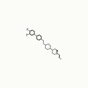 C/C=C/[SiH]1CCC(C2CCC(CCc3ccc(-c4ccc(F)c(F)c4)cc3)CC2)CC1